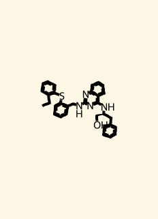 CCc1ccccc1Sc1ccccc1CNc1nc(N[C@H](CO)Cc2ccccc2)c2ccccc2n1